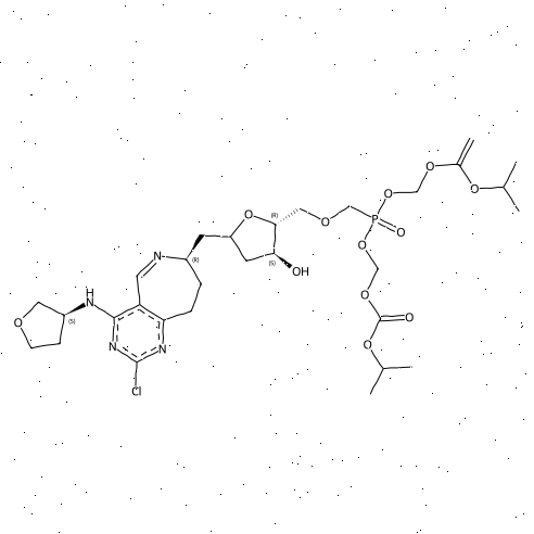 C=C(OCOP(=O)(COC[C@H]1OC(C[C@H]2CCc3nc(Cl)nc(N[C@H]4CCOC4)c3C=N2)C[C@@H]1O)OCOC(=O)OC(C)C)OC(C)C